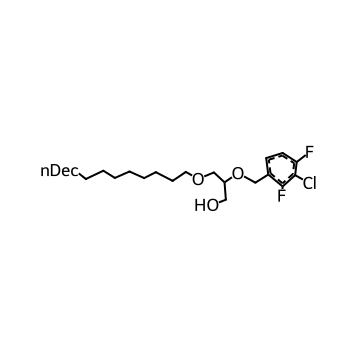 CCCCCCCCCCCCCCCCCCOCC(CO)OCc1ccc(F)c(Cl)c1F